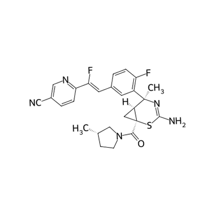 C[C@H]1CCN(C(=O)[C@]23C[C@H]2[C@@](C)(c2cc(/C=C(\F)c4ccc(C#N)cn4)ccc2F)N=C(N)S3)C1